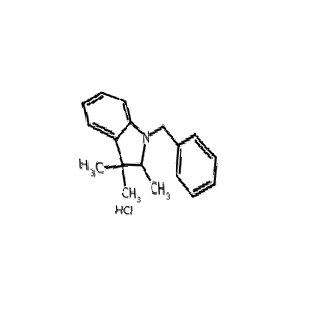 CC1N(Cc2ccccc2)c2ccccc2C1(C)C.Cl